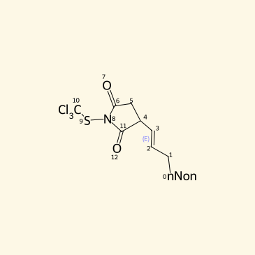 CCCCCCCCCC/C=C/C1CC(=O)N(SC(Cl)(Cl)Cl)C1=O